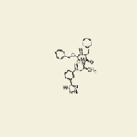 C[C@@H](CNc1cccc(-c2nnn[nH]2)c1)NC(=O)C(CC1CCCCC1)NC(=O)OCc1ccccc1